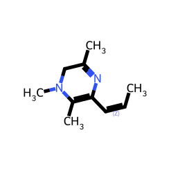 C/C=C\C1=C(C)N(C)CC(C)=N1